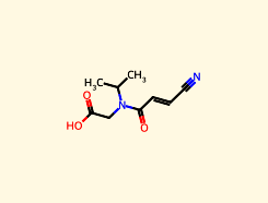 CC(C)N(CC(=O)O)C(=O)/C=C/C#N